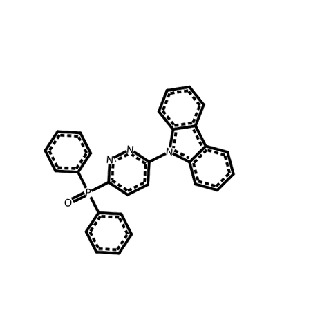 O=P(c1ccccc1)(c1ccccc1)c1ccc(-n2c3ccccc3c3ccccc32)nn1